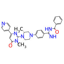 C[C@@H]1CN(c2ccc(C(=N)NC(=O)c3ccccc3)cc2)CCN1c1nc(-c2ccncc2)cc(=O)n1C